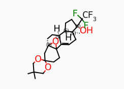 CC1(C)COC2(CCC34O[C@]3(CC[C@@H]3C4=CC[C@@]4(C)[C@H]3CC[C@@]4(O)C(F)(F)C(F)(F)F)C2)OC1